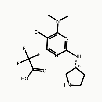 CN(C)c1nc(N[C@@H]2CCNC2)ncc1Cl.O=C(O)C(F)(F)F